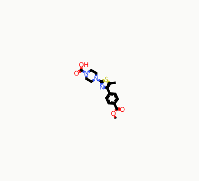 COC(=O)c1ccc(-c2nc(N3CCN(C(=O)O)CC3)sc2C)cc1